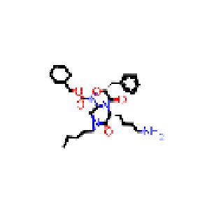 CCCCCN1CC2N(C(=O)OCC3CCCCC3)O[C@H](Cc3ccccc3)C(=O)N2[C@@H](CCCCN)C1=O